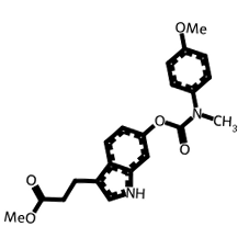 COC(=O)CCc1c[nH]c2cc(OC(=O)N(C)c3ccc(OC)cc3)ccc12